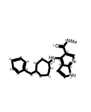 CNC(=O)c1cnc2[nH]ccc2c1NC1CCCC(Cc2ccccc2)CC1